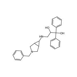 OC(CNC1C2CN(Cc3ccccc3)CC21)C(O)(c1ccccc1)c1ccccc1